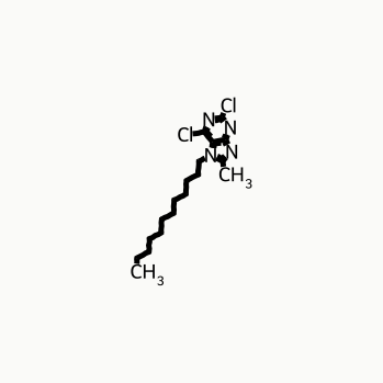 CCCCCCCCCCCCn1c(C)nc2nc(Cl)nc(Cl)c21